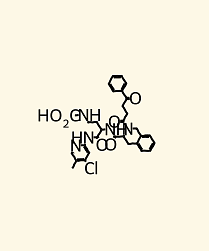 Cc1cnc(NC(=O)C(CCNC(=O)O)NC(=O)C2Cc3ccccc3CN2C(=O)CCC(=O)c2ccccc2)cc1Cl